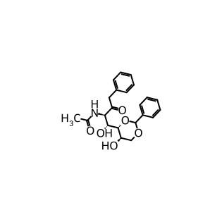 CC(=O)N[C@@H](C(=O)Cc1ccccc1)[C@@H](O)[C@@H]1OC(c2ccccc2)OC[C@H]1O